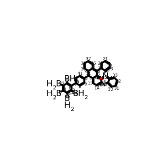 Bc1c(B)c(B)c(-c2ccc(C3c4ccccc4C(c4ccccc4-n4c(C)nc5ccccc54)=C4C=CC=CC43)cc2)c(B)c1B